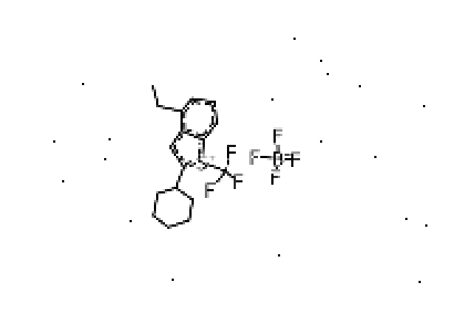 CCc1cccc2c1cc(C1CCCCC1)[s+]2C(F)(F)F.F[B-](F)(F)F